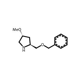 CO[C@H]1CN[C@H](COCc2ccccc2)C1